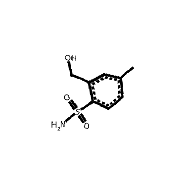 Cc1ccc(S(N)(=O)=O)c(CO)c1